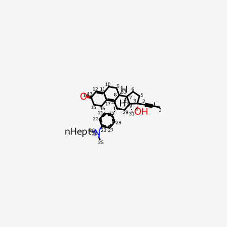 CC#C[C@]1(O)CC[C@H]2[C@@H]3CCC4=CC(=O)CCC4=C3[C@@H](c3ccc(N(C)CCCCCCC)cc3)C[C@@]21C